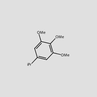 COc1cc(C(C)C)cc(OC)c1OC